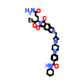 CCC(=O)C(CCC(N)=O)N1C(=O)c2cc3c(cc2C1=O)CN(CC1CN(C2CCN(c4ccc(C(=O)NC5CCCCC5)cc4)CC2)C1)C3